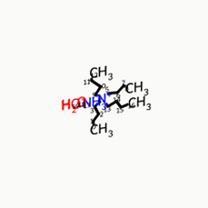 CCCC[N+](CCCC)(CCCC)CCCC.N.O.[OH-]